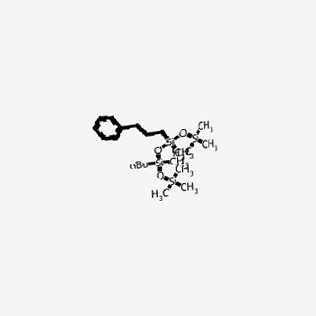 CCCC[Si](C)(O[Si](C)(C)C)O[Si](C)(CCCc1ccccc1)O[Si](C)(C)C